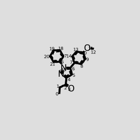 CCC(=O)c1cc(-c2ccc(OC)cc2)n(-c2ccccc2)n1